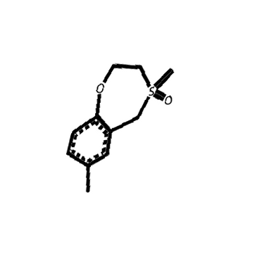 C=S1(=O)CCOc2ccc(C)cc2C1